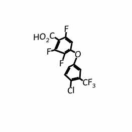 O=C(O)c1c(F)cc(Oc2ccc(Cl)c(C(F)(F)F)c2)c(F)c1F